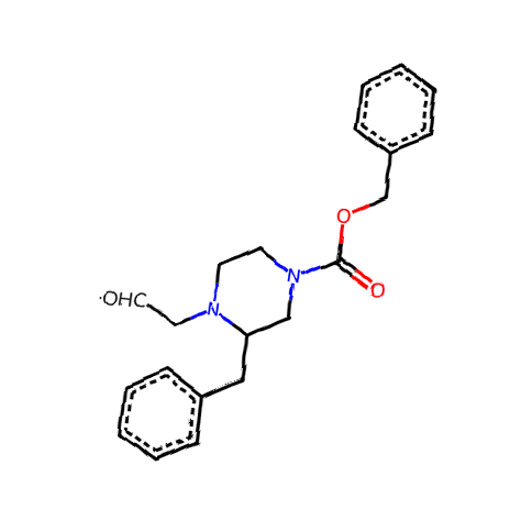 O=[C]CN1CCN(C(=O)OCc2ccccc2)CC1Cc1ccccc1